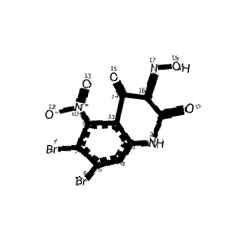 O=C1Nc2cc(Br)c(Br)c([N+](=O)[O-])c2C(=O)C1=NO